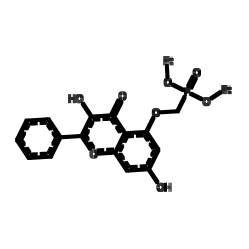 CCOP(=O)(COc1cc(O)cc2oc(-c3ccccc3)c(O)c(=O)c12)OCC